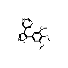 COc1cc(-c2sncc2-c2cncnc2)cc(OC)c1OC